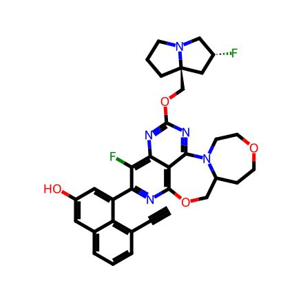 C#Cc1cccc2cc(O)cc(-c3nc4c5c(nc(OC[C@@]67CCCN6C[C@H](F)C7)nc5c3F)N3CCOCCC3CO4)c12